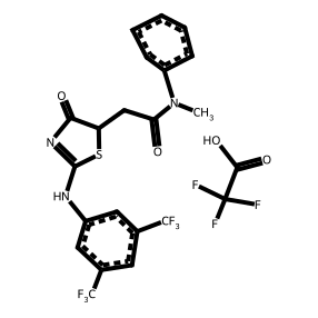 CN(C(=O)CC1SC(Nc2cc(C(F)(F)F)cc(C(F)(F)F)c2)=NC1=O)c1ccccc1.O=C(O)C(F)(F)F